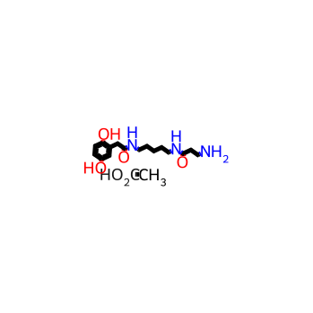 CC(=O)O.NCCC(=O)NCCCCCNC(=O)Cc1cc(O)ccc1O